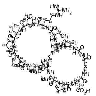 CC[C@H](C)[C@@H]1NC(=O)NC(=O)CCNC(=O)[C@H](CC(=O)O)NC(=O)[C@@H]2CCCN2C(=O)[C@H]([C@@H](C)CC)NC(=O)[C@H]2NC(=O)[C@H]([C@@H](C)CC)NC(=O)[C@@H]3CCCN3C(=O)[C@@H]3CCCN3C(=O)[C@H](CC(C)C)NC(=O)[C@H](CO)NC(=O)[C@H](CCCNC(=N)N)NC(=O)[C@H](CO)NC(=O)[C@@H](NC1=O)SS2